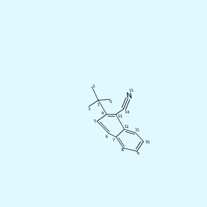 CC(C)(C)c1ccc2ccccc2c1C#N